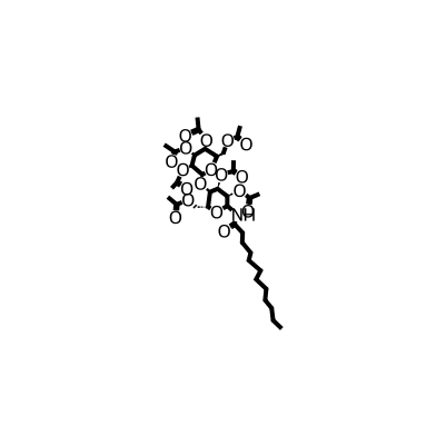 CCCCCCCCCCCC(=O)NC1O[C@H](COC(C)=O)[C@@H](O[C@@H]2O[C@H](COC(C)=O)[C@@H](OC(C)=O)[C@H](OC(C)=O)[C@@H]2OC(C)=O)[C@H](OC(C)=O)[C@@H]1OC(C)=O